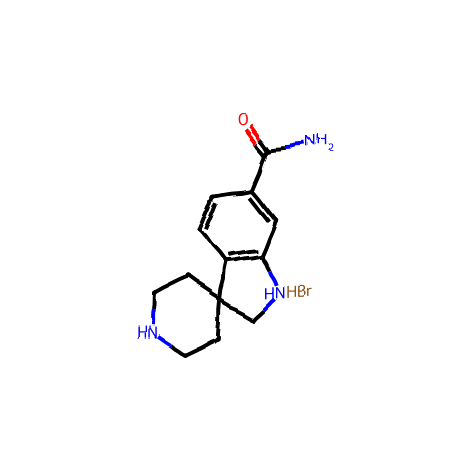 Br.NC(=O)c1ccc2c(c1)NCC21CCNCC1